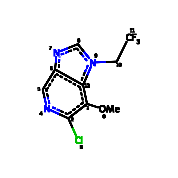 COc1c(Cl)ncc2ncn(CC(F)(F)F)c12